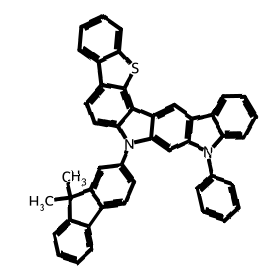 CC1(C)c2ccccc2-c2ccc(-n3c4cc5c(cc4c4c6sc7ccccc7c6ccc43)c3ccccc3n5-c3ccccc3)cc21